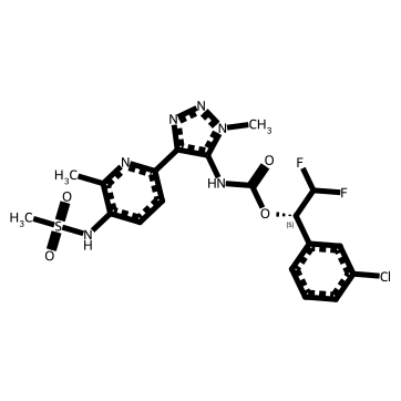 Cc1nc(-c2nnn(C)c2NC(=O)O[C@@H](c2cccc(Cl)c2)C(F)F)ccc1NS(C)(=O)=O